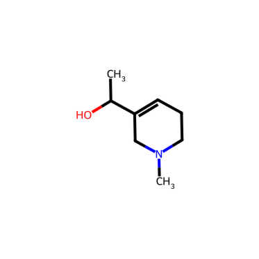 CC(O)C1=CCCN(C)C1